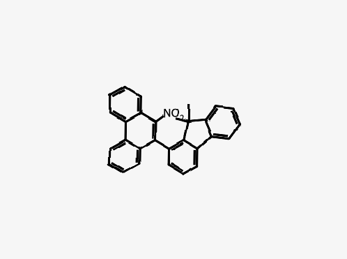 CC1(C)c2ccccc2-c2cccc(-c3c([N+](=O)[O-])c4ccccc4c4ccccc34)c21